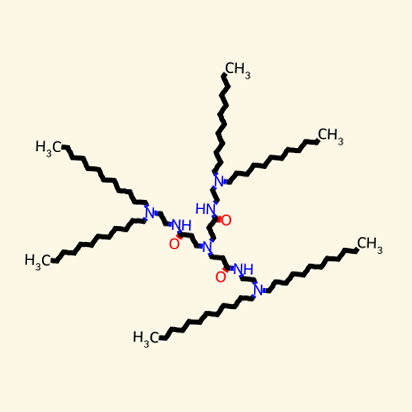 CCCCCCCCCCCCN(CCCCCCCCCCCC)CCNC(=O)CCN(CCC(=O)NCCN(CCCCCCCCCCCC)CCCCCCCCCCCC)CCC(=O)NCCN(CCCCCCCCCCCC)CCCCCCCCCCCC